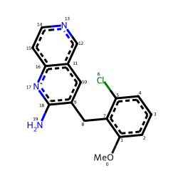 COc1cccc(Cl)c1Cc1cc2cnccc2nc1N